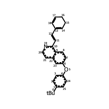 CC(C)(C)c1ccc(Oc2ccc3c(C=CC4=CCCC=C4)nccc3c2)cc1